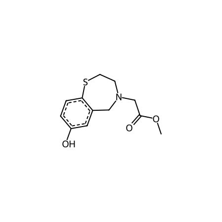 COC(=O)CN1CCSc2ccc(O)cc2C1